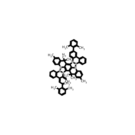 C=C(/C=C1/C2=C(CCC=C2)B2N(/C1=C/C)c1c3c(c4c5c1C(C)(C)c1cc(C)ccc1N5B1c5ccccc5-c5cc(-c6c(C)cccc6C)ccc5N14)C(C)(C)c1cc(C)ccc1N23)c1c(C)cccc1C